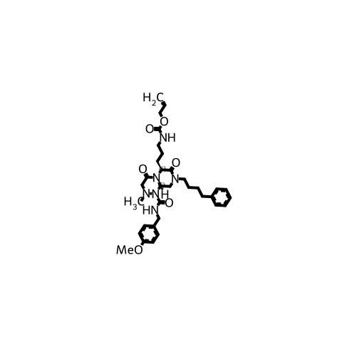 C=CCOC(=O)NCCC[C@H]1C(=O)N(CCCCc2ccccc2)C[C@H]2N1C(=O)CN(C)N2C(=O)NCc1ccc(OC)cc1